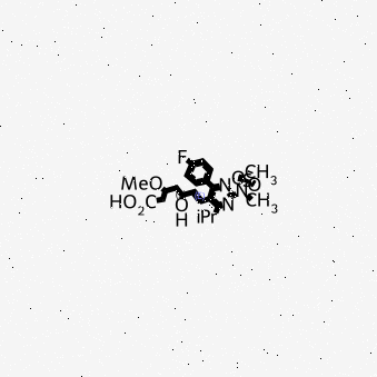 COC(CC(=O)O)C[C@H](O)/C=C/c1c(-c2ccc(F)cc2)nc(N(C)S(C)(=O)=O)nc1C(C)C